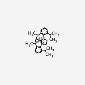 CC(C)c1cccc(C(C)C)c1N1CCN(c2c(C(C)C)cccc2C(C)C)C1Cl